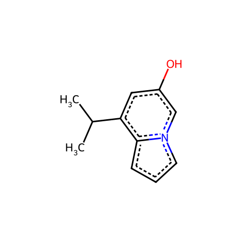 CC(C)c1cc(O)cn2cccc12